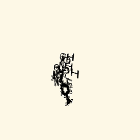 O=C(O)CNC(=O)c1c(O)cc(-c2ccc(C3CC3)cc2F)n2ncnc12